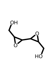 OCC1OC1C1OC1CO